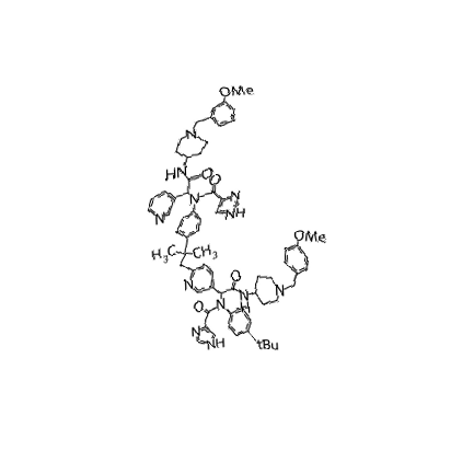 COc1ccc(CN2CCC(NC(=O)C(c3ccc(CC(C)(C)c4ccc(N(C(=O)c5c[nH]cn5)C(C(=O)NC5CCN(Cc6cccc(OC)c6)CC5)c5cccnc5)cc4)nc3)N(C(=O)c3c[nH]cn3)c3ccc(C(C)(C)C)cc3)CC2)cc1